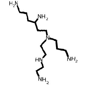 NCCCC(N)CCN(CCCN)CCNCCN